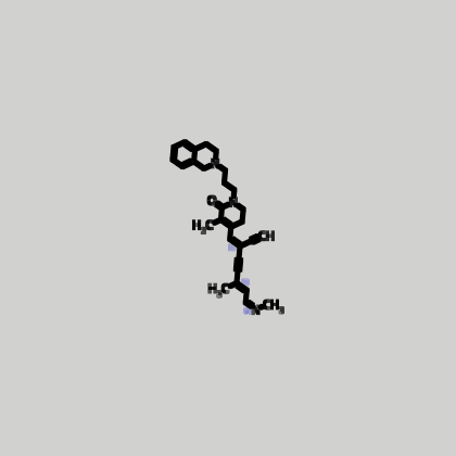 C#C/C(C#C/C(C)=C/C=N\C)=C\C1=C(C)C(=O)N(CCCN2CCc3ccccc3C2)CC1